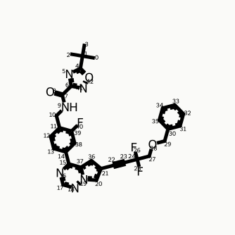 CC(C)(C)c1nc(C(=O)NCc2ccc(-c3ncnn4cc(C#CC(F)(F)COCc5ccccc5)cc34)cc2F)no1